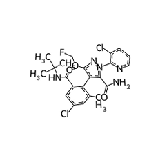 Cc1cc(Cl)cc(C(=O)NC(C)(C)C)c1-c1c(OCF)nn(-c2ncccc2Cl)c1C(N)=O